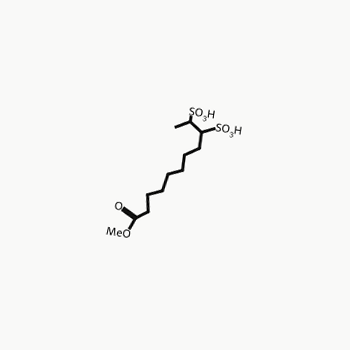 COC(=O)CCCCCCCC(C(C)S(=O)(=O)O)S(=O)(=O)O